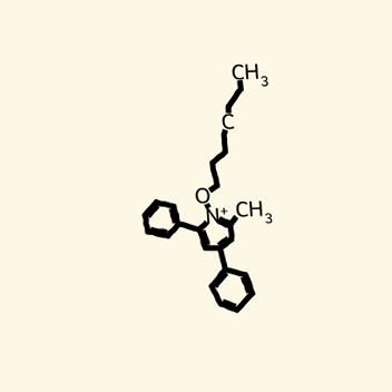 CCCCCCCCO[n+]1c(C)cc(-c2ccccc2)cc1-c1ccccc1